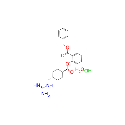 Cl.N=C(N)NC[C@H]1CC[C@H](C(=O)Oc2ccccc2C(=O)OCc2ccccc2)CC1.O